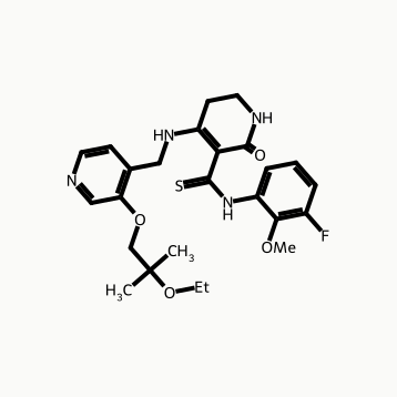 CCOC(C)(C)COc1cnccc1CNC1=C(C(=S)Nc2cccc(F)c2OC)C(=O)NCC1